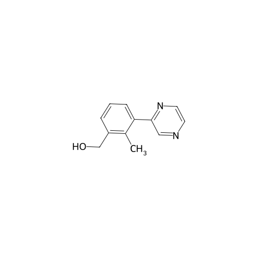 Cc1c(CO)cccc1-c1cnccn1